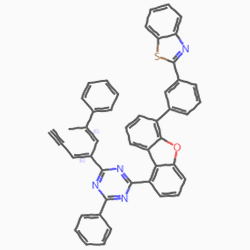 C#C/C=C(\C=C(/C)c1ccccc1)c1nc(-c2ccccc2)nc(-c2cccc3oc4c(-c5cccc(-c6nc7ccccc7s6)c5)cccc4c23)n1